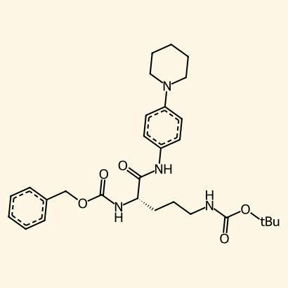 CC(C)(C)OC(=O)NCCC[C@H](NC(=O)OCc1ccccc1)C(=O)Nc1ccc(N2CCCCC2)cc1